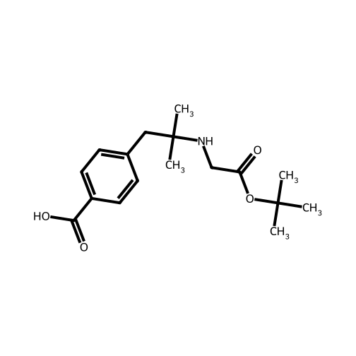 CC(C)(Cc1ccc(C(=O)O)cc1)NCC(=O)OC(C)(C)C